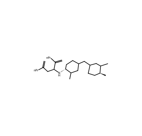 C=C(CCC)CC(N[C@@H]1CCC(CC2CC[C@H](C)C(C)C2)CC1C)C(=C)CCC